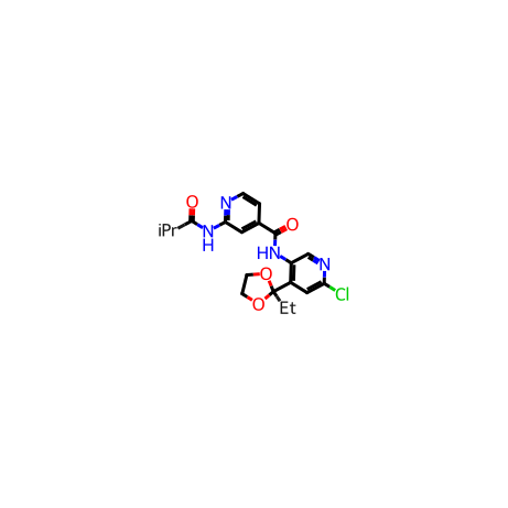 CCC1(c2cc(Cl)ncc2NC(=O)c2ccnc(NC(=O)C(C)C)c2)OCCO1